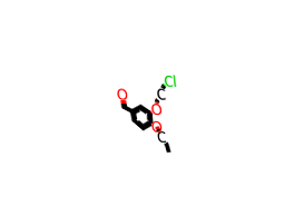 CCCOc1ccc(C=O)cc1OCCCCl